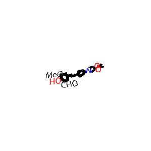 COc1cc(/C=C/c2ccc(N3CC4OC(C)(C)OC4C3)cc2)cc(C=O)c1O